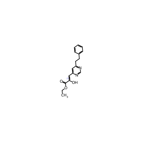 CCOC(=O)/C(O)=C/c1cc(CCc2ccccc2)ncn1